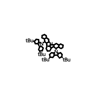 CC(C)(C)c1ccc2c(c1)c1cc(C(C)(C)C)ccc1n2-c1c2ccccc2cc2c1c1cccc3c4c(-n5c6ccc(C(C)(C)C)cc6c6cc(C(C)(C)C)ccc65)c5ccccc5cc4n2c13